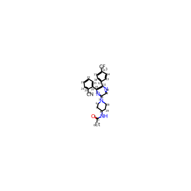 CCC(=O)NC1CCN(c2cnc(-c3ccc(C(F)(F)F)cc3)c(-c3ccccc3C#N)n2)CC1